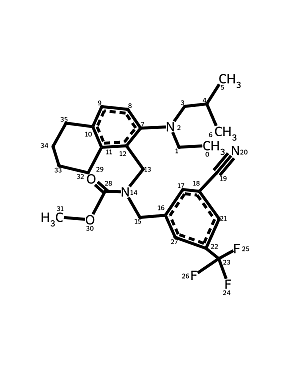 CCN(CC(C)C)c1ccc2c(c1CN(Cc1cc(C#N)cc(C(F)(F)F)c1)C(=O)OC)CCCC2